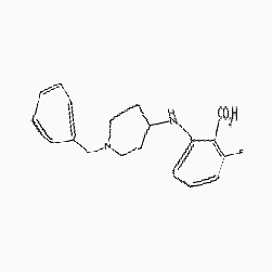 O=C(O)c1c(F)cccc1NC1CCN(Cc2ccccc2)CC1